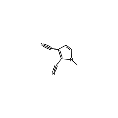 Cn1ccc(C#N)c1C#N